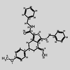 COc1ccc(C2CC(=NO)c3c(SCc4ccccc4)sc(C(=O)NCc4ccccc4)c3C2)cc1